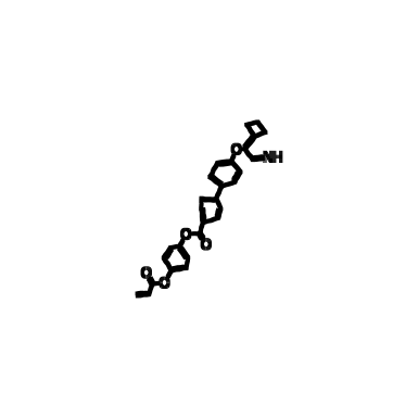 C=CC(=O)Oc1ccc(OC(=O)c2ccc(-c3ccc(OC(C=N)=C4CCC4)cc3)cc2)cc1